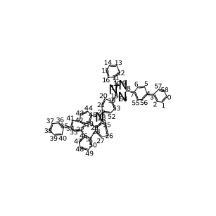 c1ccc(-c2ccc(-c3nc(-c4ccccc4)nc(-c4ccc(-n5c6cccc7c6c6c8c(cc(-c9ccccc9)cc8ccc65)-c5ccccc5-7)cc4)n3)cc2)cc1